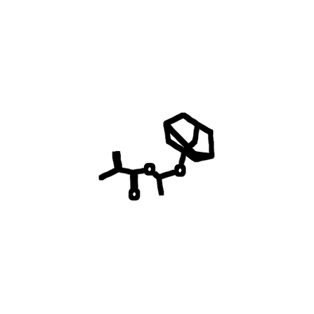 C=C(C)C(=O)OC(C)OC12CC3CC(CC(C3)C1)C2